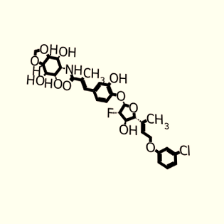 C/C(=C\c1ccc(O[C@@H]2O[C@H](/C(C)=C/COc3cccc(Cl)c3)[C@@H](O)[C@@H]2F)c(O)c1)C(=O)N[C@@H]1[C@H](O)[C@@H](O)[C@H]2OCO[C@H]2[C@@H]1O